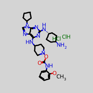 COc1ccccc1NC(=O)ON1CCC(Nc2nc(N[C@H]3CC[C@H](N)CC3)nc3c2ncn3C2CCCC2)CC1.Cl.Cl